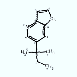 CCC(C)(C)c1cnc2ccoc2c1